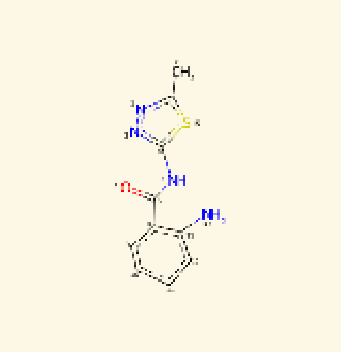 Cc1nnc(NC(=O)c2ccccc2N)s1